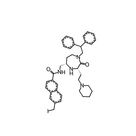 O=C(NC[C@@H]1CCN(CC(c2ccccc2)c2ccccc2)C(=O)[C@H](CCN2CCCCC2)N1)c1ccc2cc(CI)ccc2c1